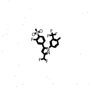 Cc1ccc(-n2nc(C(F)F)cc2-c2ccc(S(C)(=O)=O)c(F)c2)cc1C(F)(F)F